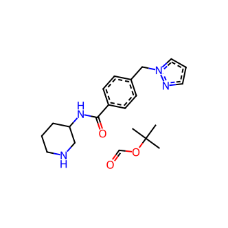 CC(C)(C)OC=O.O=C(NC1CCCNC1)c1ccc(Cn2cccn2)cc1